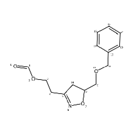 O=COCCC1=NOC(COCc2ccccc2)C1